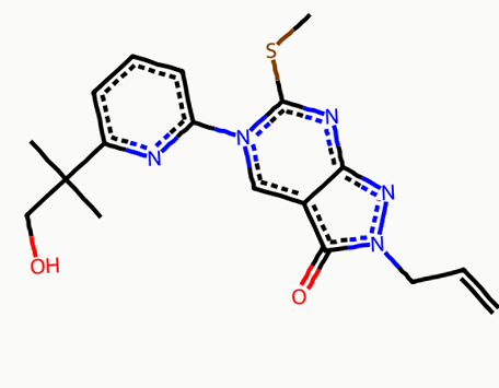 C=CCn1nc2nc(SC)n(-c3cccc(C(C)(C)CO)n3)cc-2c1=O